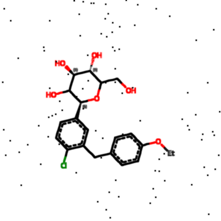 CCOc1ccc(Cc2cc([C@@H]3OC(CO)[C@@H](O)[C@H](O)C3O)ccc2Cl)cc1